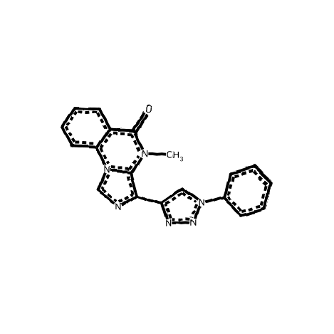 Cn1c(=O)c2ccccc2n2cnc(-c3cn(-c4ccccc4)nn3)c12